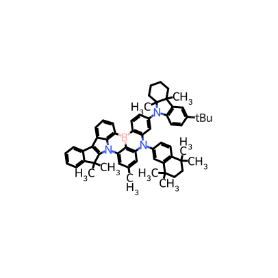 Cc1cc2c3c(c1)-n1c4c(c5cccc(c51)B3c1ccc(N3c5ccc(C(C)(C)C)cc5C5(C)CCCCC35C)cc1N2c1ccc2c(c1)C(C)(C)CCC2(C)C)-c1ccccc1C4(C)C